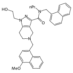 CCCN(Cc1cccc2ccccc12)C(=O)c1nn(CCO)c2c1CN(Cc1ccc(OC)c3ccccc13)CC2